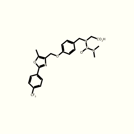 Cc1oc(-c2ccc(C(F)(F)F)cc2)nc1COc1ccc(CN(CC(=O)O)[S+]([O-])N(C)C)cc1